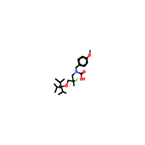 COc1ccc(CN(CC(C)(F)CO[Si](C(C)C)(C(C)C)C(C)C)C(=O)O)cc1